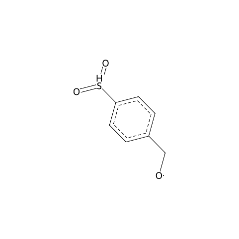 [O]Cc1ccc([SH](=O)=O)cc1